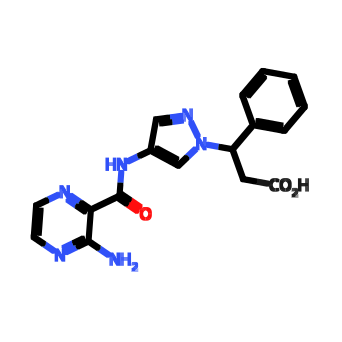 Nc1nccnc1C(=O)Nc1cnn(C(CC(=O)O)c2ccccc2)c1